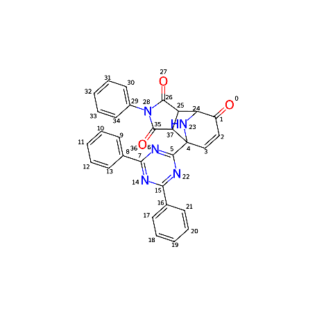 O=C1C=CC2(c3nc(-c4ccccc4)nc(-c4ccccc4)n3)NC1C1C(=O)N(c3ccccc3)C(=O)C12